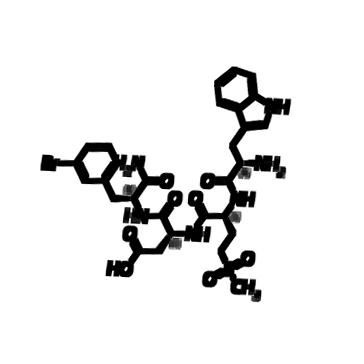 CS(=O)(=O)CC[C@H](NC(=O)[C@H](N)Cc1c[nH]c2ccccc12)C(=O)N[C@@H](CC(=O)O)C(=O)N[C@@H](Cc1cccc(Br)c1)C(N)=O